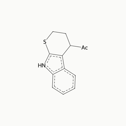 CC(=O)C1CCSc2[nH]c3ccccc3c21